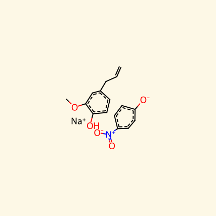 C=CCc1ccc(O)c(OC)c1.O=[N+]([O-])c1ccc([O-])cc1.[Na+]